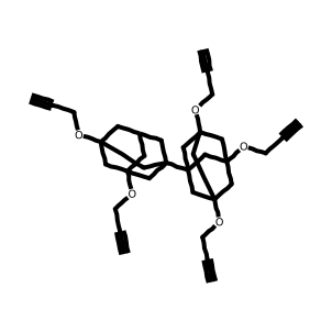 C#CCOC12CC3CC(OCC#C)(C1)CC(C14CC5(OCC#C)CC(OCC#C)(CC(OCC#C)(C5)C1)C4)(C3)C2